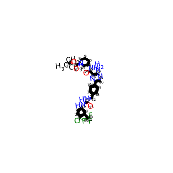 CC(C)(C)OC(=O)N1CCC[C@H](NC(=O)c2nc(-c3ccc(CNC(=O)Nc4ccc(Cl)c(C(F)(F)F)c4)cc3)cnc2N)C1